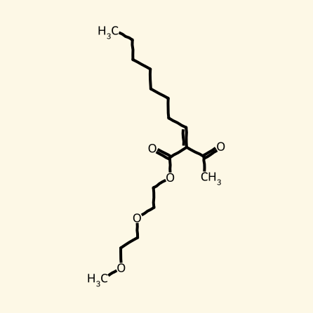 CCCCCCCC=C(C(C)=O)C(=O)OCCOCCOC